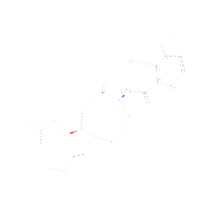 COc1ccnc(C(=O)N[C@H]2COC[C@H](CCC(C)C)[C@@H](OCC(C)C)[C@H](C)OC2=O)c1O